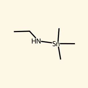 CC[NH][Sn]([CH3])([CH3])[CH3]